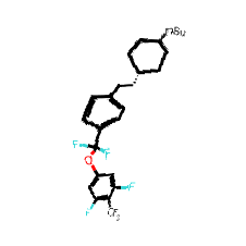 CCCC[C@H]1CC[C@H](CCc2ccc(C(F)(F)Oc3cc(F)c(C(F)(F)F)c(F)c3)cc2)CC1